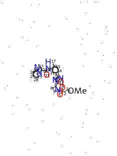 COCCS(=O)(=O)N1CC[C@H]1c1nc(-c2ccc(C)c(NC(=O)c3cnc4ccccn34)c2)no1